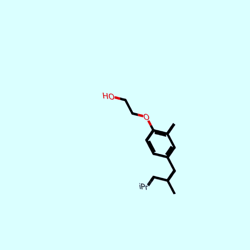 Cc1cc(CC(C)CC(C)C)ccc1OCCO